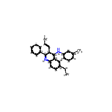 CC(=O)/C=C/c1c(-c2ccccc2)nc2ccc(CC(C)C)cc2c1Nc1cccc(C(F)(F)F)c1